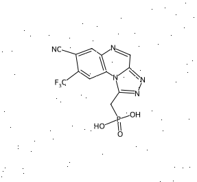 N#Cc1cc2ncc3nnc(CP(=O)(O)O)n3c2cc1C(F)(F)F